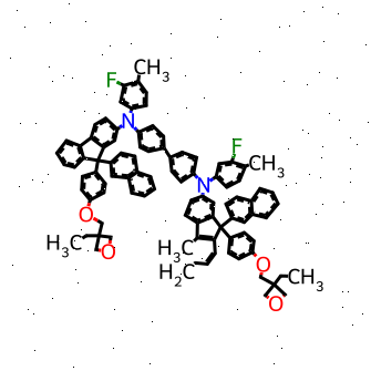 C=C/C=C\C1=C(C)c2ccc(N(c3ccc(-c4ccc(N(c5ccc(C)c(F)c5)c5ccc6c(c5)C(c5ccc(OCC7(CC)COC7)cc5)(c5ccc7ccccc7c5)c5ccccc5-6)cc4)cc3)c3ccc(C)c(F)c3)cc2C1(c1ccc(OCC2(CC)COC2)cc1)c1ccc2ccccc2c1